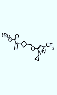 CC(C)(C)OC(=O)N[C@H]1C[C@@H](COc2cc(C(F)(F)F)nn2C2CC2)C1